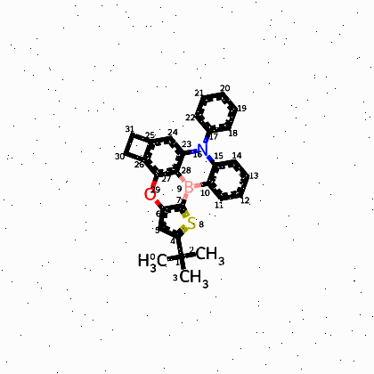 CC(C)(C)c1cc2c(s1)B1c3ccccc3N(c3ccccc3)c3cc4c(c(c31)O2)CC4